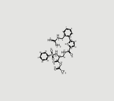 N=C(N)NCc1ccccc1-c1ccc(C(=O)NCC(NS(=O)(=O)c2ccccc2)C(=O)OC(=O)C(F)(F)F)s1